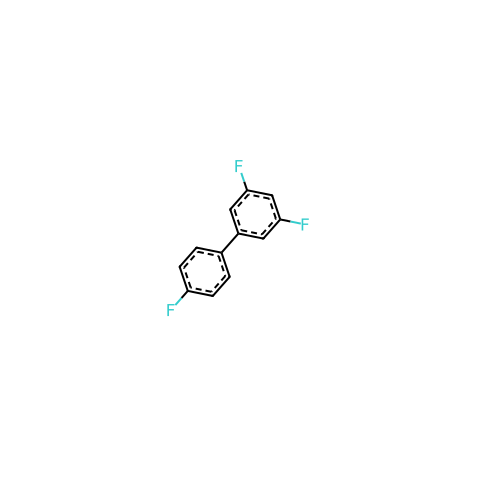 Fc1ccc(-c2cc(F)cc(F)c2)cc1